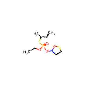 CCOP(=O)(ON1CCSO1)SC(C)CC